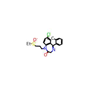 CC[S+]([O-])CCCN1C(=O)CN=C(c2ccccc2C(F)(F)F)c2cc(Cl)ccc21